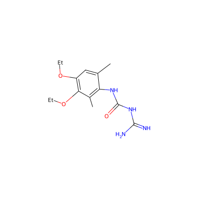 CCOc1cc(C)c(NC(=O)NC(=N)N)c(C)c1OCC